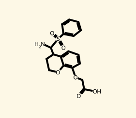 NC(C1CCOc2c(OCC(=O)O)cccc21)S(=O)(=O)c1ccccc1